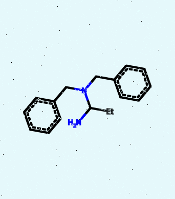 CCC(N)N(Cc1ccccc1)Cc1ccccc1